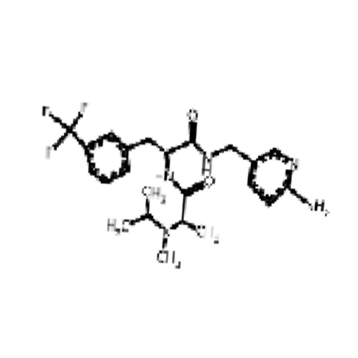 CC(C)N(C)C(C)C(=O)N[C@@H](Cc1cccc(C(F)(F)F)c1)C(=O)NCc1ccc(N)nc1